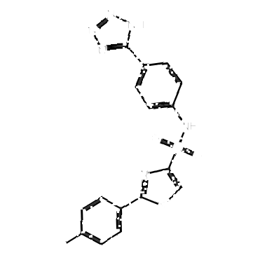 O=S(=O)(Nc1ccc(-c2nnn[nH]2)cc1)c1csc(-c2ccc(F)cc2)n1